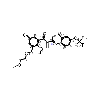 COCCOCc1cc(Cl)cc(C(=O)N/C(C)=N/c2ccc(OC(F)(F)F)cc2C)c1OC